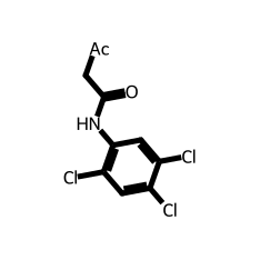 CC(=O)CC(=O)Nc1cc(Cl)c(Cl)cc1Cl